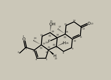 CC(=O)C1=CC[C@H]2[C@@H]3CCC4=CC(=O)CC[C@]4(C)C3(F)[C@@H](O)C[C@]12C